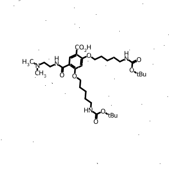 CN(C)CCNC(=O)c1cc(C(=O)O)c(OCCCCCNC(=O)OC(C)(C)C)cc1OCCCCCNC(=O)OC(C)(C)C